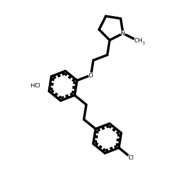 CN1CCCC1CCOc1ccccc1CCc1ccc(Cl)cc1.Cl